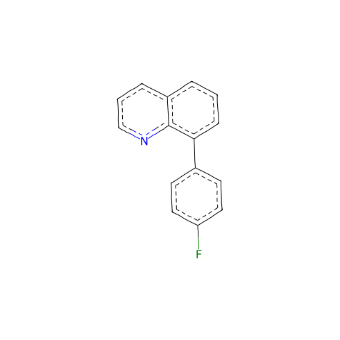 Fc1ccc(-c2cccc3cccnc23)cc1